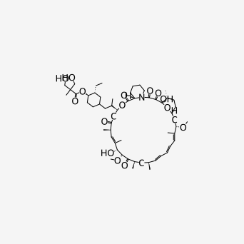 CC[C@@H]1CC(CC(C)[C@@H]2CC(=O)[C@H](C)/C=C(\C)[C@@H](O)[C@@H](OC)C(=O)[C@H](C)C[C@H](C)/C=C/C=C/C=C(\C)[C@@H](OC)C[C@@H]3CC[C@@H](C)[C@@](O)(O3)C(=O)C(=O)N3CCCC[C@H]3C(=O)O2)CC[C@H]1OC(=O)C(C)(CO)CO